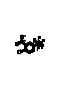 O=[N+]([O-])c1cc(S(F)(F)(F)(F)F)ccc1Cl